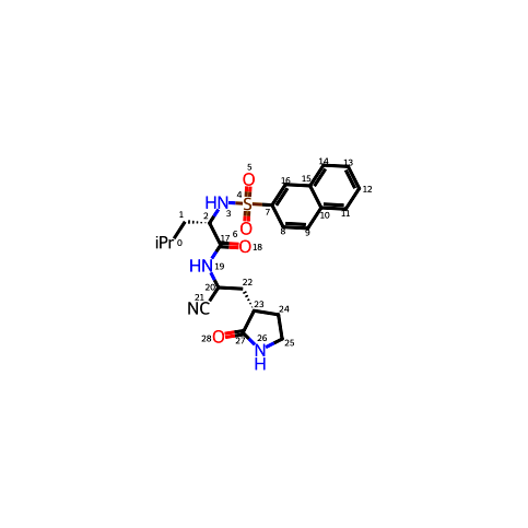 CC(C)C[C@H](NS(=O)(=O)c1ccc2ccccc2c1)C(=O)NC(C#N)C[C@@H]1CCNC1=O